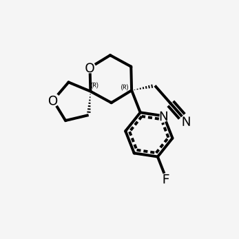 N#CC[C@@]1(c2ccc(F)cn2)CCO[C@@]2(CCOC2)C1